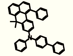 CC1(C)c2cc(N(c3ccccc3)c3ccc(-c4ccccc4)cc3)ccc2-c2c(-c3ccccc3)ccc3cccc1c23